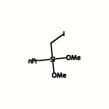 CCC[Si](CI)(OC)OC